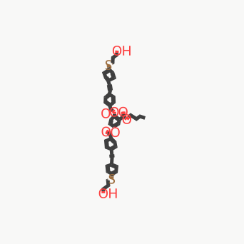 CCCCOC(=O)c1cc(OC(=O)c2ccc(C#Cc3ccc(SCCCO)cc3)cc2)ccc1OC(=O)c1ccc(C#Cc2ccc(SCCCO)cc2)cc1